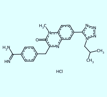 CC(C)Cn1nnnc1-c1ccc2c(c1)nc(Cc1ccc(C(=N)N)cc1)c(=O)n2C.Cl